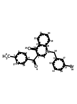 Cc1ccc(C(=O)c2cn(Cc3cccc(Br)c3)c3ccccc3c2=O)cn1